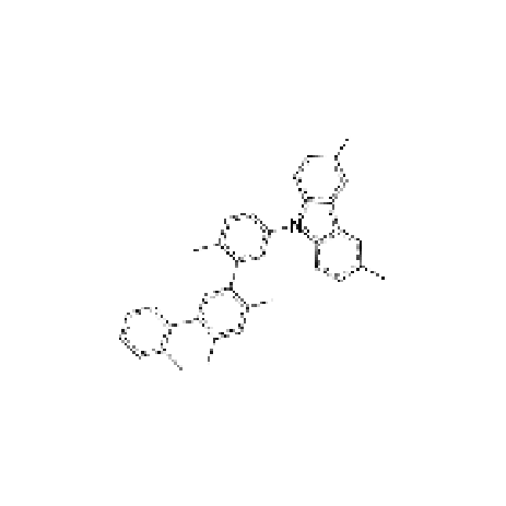 Cc1ccc2c(c1)c1cc(C)ccc1n2-c1ccc(C)c(-c2cc(-c3ccccc3C)c(C)cc2C)c1